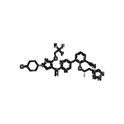 C[C@@H](Cn1cnnn1)Oc1c(C#N)cccc1-c1cnc(Nc2cn(C3CCC(=O)CC3)nc2OCC(F)(F)F)nc1